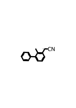 Cc1c([CH]C#N)cccc1-c1ccccc1